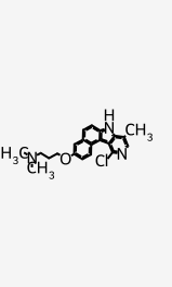 Cc1cnc(Cl)c2c1[nH]c1ccc3cc(OCCCN(C)C)ccc3c12